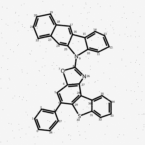 c1ccc(-c2cc3oc(-n4c5ccccc5c5cc6ccccc6cc54)nc3c3c2sc2ccccc23)cc1